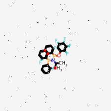 CC(C)N(P(Oc1c(F)c(F)c(F)c(F)c1F)c1ccccc1)P(c1ccccc1F)c1ccccc1F